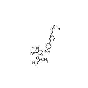 COCCn1cc(-c2ccc(Nc3cc(N)c(C#N)c(OC(C)C)n3)cc2)cn1